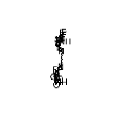 Cc1c(C(C)Nc2nnc(C)c3ccc(N4CCN(CCCCCCCCCN5CCC(c6cc7c(cc6F)C(=O)N(C6CCC(=O)NC6=O)C7)CC5)CC4)cc23)cccc1C(F)(F)F